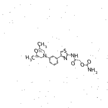 C[C@H]1CN(c2cccc(-c3csc(NC(=O)COC(N)=O)n3)c2)C[C@H](C)O1